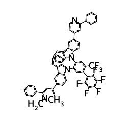 C=N/C(=C\C(=C/C)c1ccc2c(c1)c1ccccc1n2-c1cc(-c2c(F)c(F)c(F)c(F)c2F)c(C(F)(F)F)cc1-n1c2ccccc2c2cc(-c3ccnc(-c4ccccc4)c3)ccc21)c1ccccc1